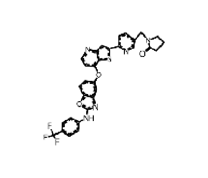 O=C1CCCN1Cc1ccc(-c2cc3nccc(Oc4ccc5oc(Nc6ccc(C(F)(F)F)cc6)nc5c4)c3s2)nc1